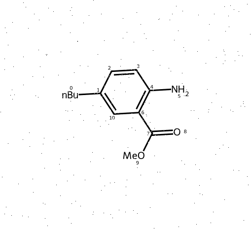 CCCCc1ccc(N)c(C(=O)OC)c1